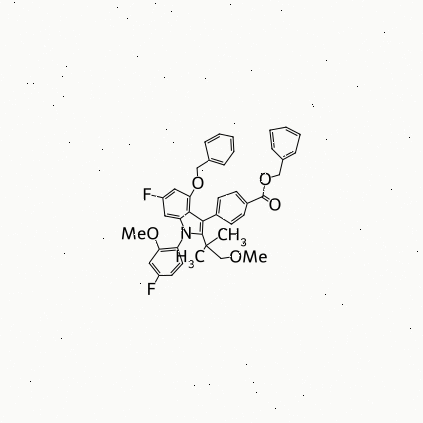 COCC(C)(C)c1c(-c2ccc(C(=O)OCc3ccccc3)cc2)c2c(OCc3ccccc3)cc(F)cc2n1-c1ccc(F)cc1OC